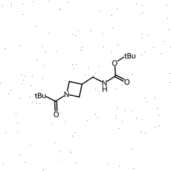 CC(C)(C)OC(=O)NCC1CN(C(=O)C(C)(C)C)C1